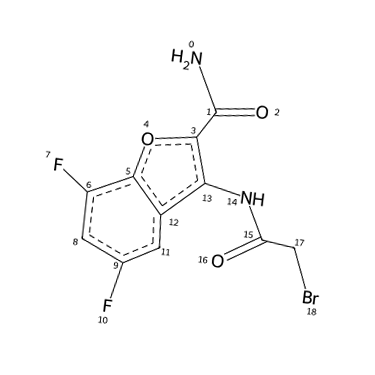 NC(=O)c1oc2c(F)cc(F)cc2c1NC(=O)CBr